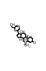 CCc1cncc(C2=CC[C@H]3[C@@H]4CN(C)C5=CC(=O)CC[C@]5(C)[C@H]4CC[C@]23C)n1